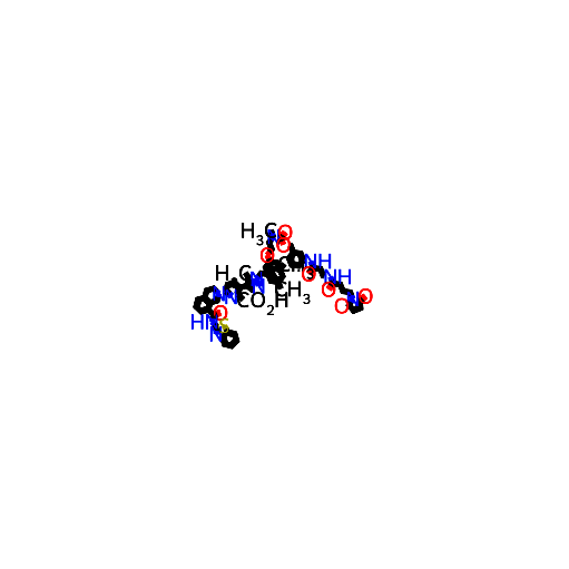 Cc1c(-c2ccc(N3CCc4cccc(C(=O)Nc5nc6ccccc6s5)c4C3)nc2C(=O)O)cnn1CC12CC3(C)CC(C)(C1)CC(OCCN(C)C(=O)OCc1cc[c]c(NC(=O)CCNC(=O)CCCN4C(=O)C=CC4=O)c1)(C3)C2